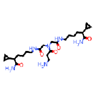 NCCC(=O)N(CC(=O)NCCCCC(C(N)=O)C1CC1)CC(=O)NCCCCC(C(N)=O)C1CC1